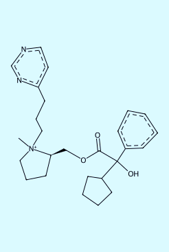 C[N+]1(CCCc2ccncn2)CCC[C@@H]1COC(=O)C(O)(c1ccccc1)C1CCCC1